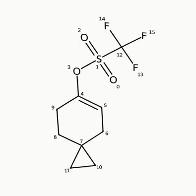 O=S(=O)(OC1=CCC2(CC1)CC2)C(F)(F)F